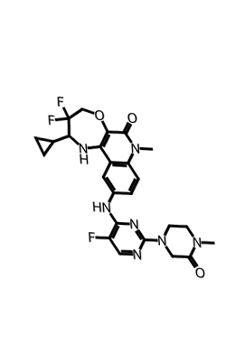 CN1CCN(c2ncc(F)c(Nc3ccc4c(c3)c3c(c(=O)n4C)OCC(F)(F)C(C4CC4)N3)n2)CC1=O